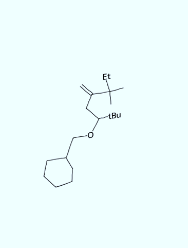 C=C(CC(OCC1CCCCC1)C(C)(C)C)C(C)(C)CC